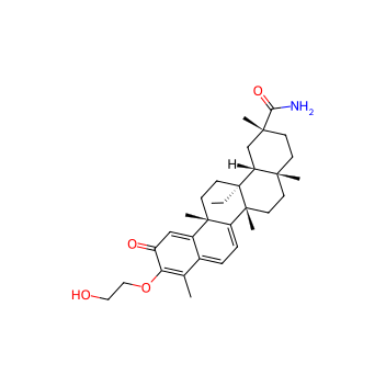 CC[C@@]12CC[C@@]3(C)C4=CC(=O)C(OCCO)=C(C)C4=CC=C3[C@@]1(C)CC[C@@]1(C)CC[C@@](C)(C(N)=O)C[C@H]12